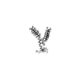 C[N+](C)(C)CCSC(CC(=O)OCC(F)(F)C(F)(F)C(F)(F)C(F)(F)C(F)(F)C(F)F)C(=O)OCC(F)(F)C(F)(F)C(F)(F)C(F)(F)C(F)(F)C(F)F